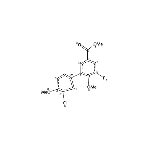 COC(=O)c1cc(F)c(OC)c(-c2ccc(OC)c(Cl)c2)c1